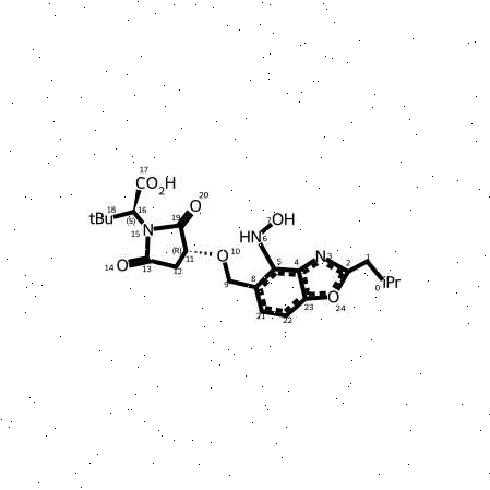 CC(C)Cc1nc2c(NO)c(CO[C@@H]3CC(=O)N([C@H](C(=O)O)C(C)(C)C)C3=O)ccc2o1